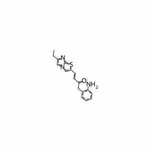 CCc1cn2cc(/C=C/C(=O)Cc3ccccc3N)sc2n1